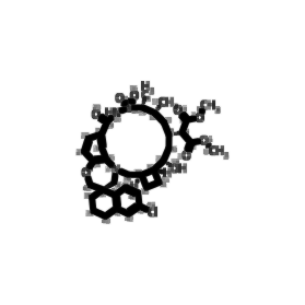 COC(=O)C(C(=O)OC)[C@H]1C[C@@H](C)[C@@H](C)S(=O)(=O)NC(=O)c2ccc3c(c2)N(C[C@@H]2CC[C@H]2[C@@H](O)C1)C[C@@]1(CCCc2cc(Cl)ccc21)CO3